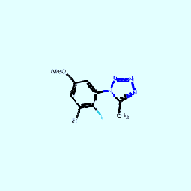 CCc1cc(OC)cc(-n2nnnc2C)c1F